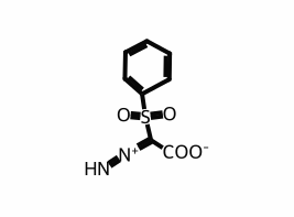 N=[N+]=C(C(=O)[O-])S(=O)(=O)c1ccccc1